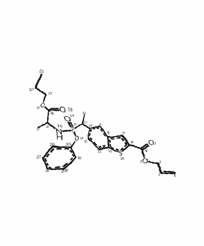 C=CCOC(=O)c1cc2cc(C(C)P(=O)(NC(C)C(=O)OCCC)Oc3ccccc3)ccc2s1